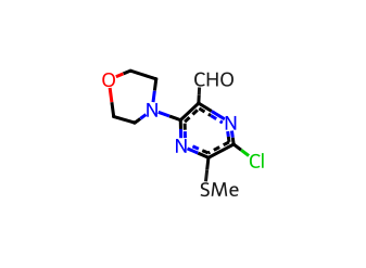 CSc1nc(N2CCOCC2)c(C=O)nc1Cl